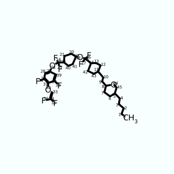 CCCCCC1CCC(CCC2CCC(C(F)(F)OC3CCC(C(F)(F)Oc4cc(F)c(OC=C(F)F)c(F)c4)CC3)CC2)OC1